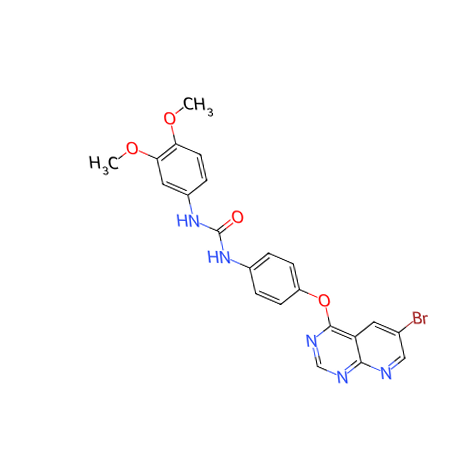 COc1ccc(NC(=O)Nc2ccc(Oc3ncnc4ncc(Br)cc34)cc2)cc1OC